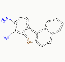 Nc1ccc2c(sc3ccc4ccccc4c32)c1N